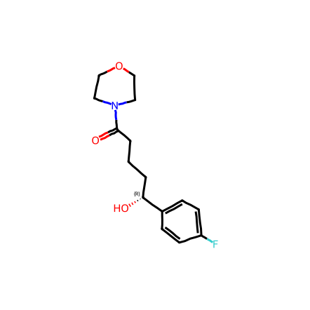 O=C(CCC[C@@H](O)c1ccc(F)cc1)N1CCOCC1